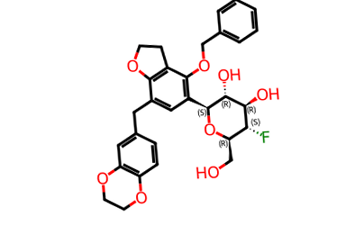 OC[C@H]1O[C@@H](c2cc(Cc3ccc4c(c3)OCCO4)c3c(c2OCc2ccccc2)CCO3)[C@H](O)[C@@H](O)[C@@H]1F